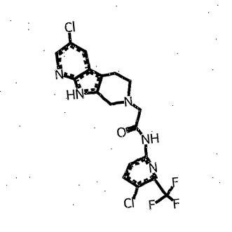 O=C(CN1CCc2c([nH]c3ncc(Cl)cc23)C1)Nc1ccc(Cl)c(C(F)(F)F)n1